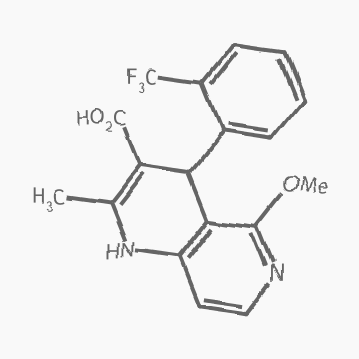 COc1nccc2c1C(c1ccccc1C(F)(F)F)C(C(=O)O)=C(C)N2